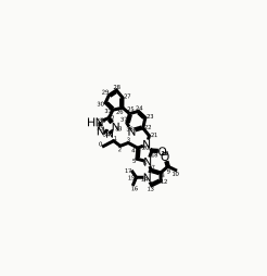 CCCCc1cn(-c2c(C(C)=O)ccn2C(C)C)c(=O)n1Cc1ccc(-c2ccccc2-c2nnn[nH]2)cn1